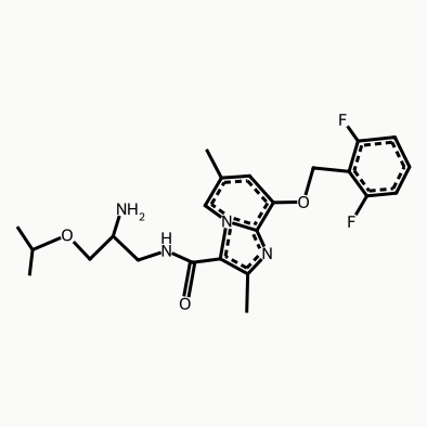 Cc1cc(OCc2c(F)cccc2F)c2nc(C)c(C(=O)NCC(N)COC(C)C)n2c1